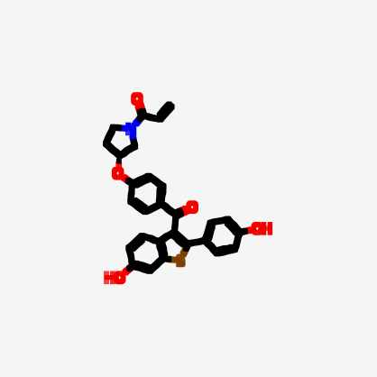 C=CC(=O)N1CC[C@@H](Oc2ccc(C(=O)c3c(-c4ccc(O)cc4)sc4cc(O)ccc34)cc2)C1